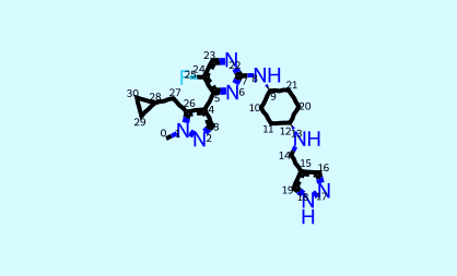 Cn1ncc(-c2nc(N[C@H]3CC[C@@H](NCc4cn[nH]c4)CC3)ncc2F)c1CC1CC1